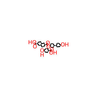 O=C(O)c1ccc(O)cc1.O=C(O)c1ccc2cc(C(=O)Oc3ccc(-c4ccc(O)cc4)cc3)ccc2c1